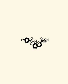 O=C(NO)C1CCc2cccc(NS(=O)(=O)c3ccc(F)cc3)c2O1